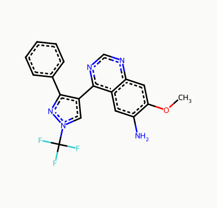 COc1cc2ncnc(-c3cn(C(F)(F)F)nc3-c3ccccc3)c2cc1N